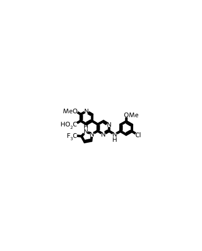 COc1cc(Cl)cc(Nc2ncc(-c3cnc(OC)c(C(=O)O)c3)c(N3C=CC(C(F)(F)F)N3)n2)c1